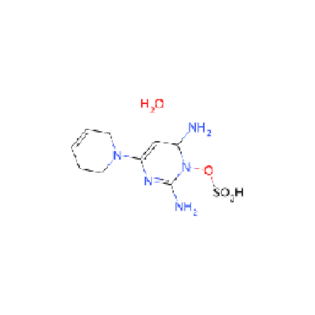 NC1=NC(N2CC=CCC2)=CC(N)N1OS(=O)(=O)O.O